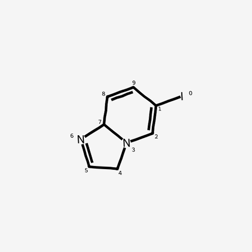 IC1=CN2CC=NC2C=C1